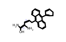 N/C(O)=C(N)\C=C/Cc1c2ccccc2c(C2=CCCC=C2)c2ccccc12